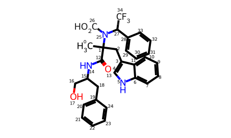 CC(Cc1c[nH]c2ccccc12)(C(=O)NC(CO)Cc1ccccc1)N(C(=O)O)C(c1ccccc1)C(F)(F)F